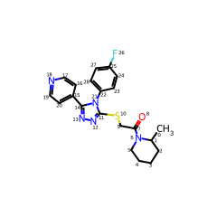 CC1CCCCN1C(=O)CSc1nnc(-c2ccncc2)n1-c1ccc(F)cc1